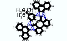 C[Si](C)(C)c1cc2c3c(c1)-n1c4c5ccccc5c5ccccc5c4n4c5cccc6c5c(c14)B3c1c3c-6cccc3n3c4c5ccccc5c5ccccc5c4n-2c13